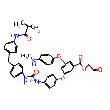 CNc1ccc(Oc2cc(Oc3ccc(NC(=O)Nc4ccc(Cc5ccc(NC(=O)C(C)C)cc5)cc4)cc3)cc(C(=O)OCC=O)c2)cc1